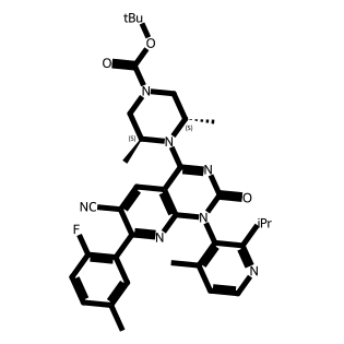 Cc1ccc(F)c(-c2nc3c(cc2C#N)c(N2[C@@H](C)CN(C(=O)OC(C)(C)C)C[C@@H]2C)nc(=O)n3-c2c(C)ccnc2C(C)C)c1